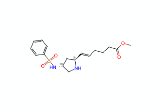 COC(=O)CCCC=C[C@@H]1C[C@@H](NS(=O)(=O)c2ccccc2)CN1